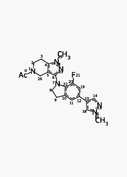 CC(=O)N1CCc2c(c(N3CCc4cc(-c5cnn(C)c5)cc(F)c43)nn2C)C1